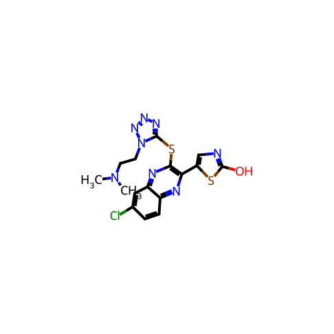 CN(C)CCn1nnnc1Sc1nc2cc(Cl)ccc2nc1-c1cnc(O)s1